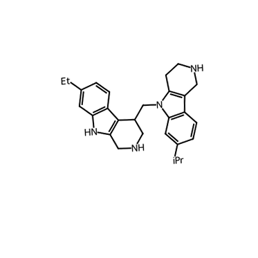 CCc1ccc2c3c([nH]c2c1)CNCC3Cn1c2c(c3ccc(C(C)C)cc31)CNCC2